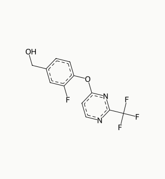 OCc1ccc(Oc2ccnc(C(F)(F)F)n2)c(F)c1